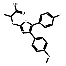 CSc1ccc(-c2nc(SC(C)C(=O)O)oc2-c2ccc(Cl)cc2)cc1